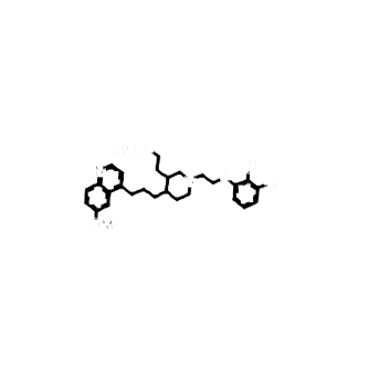 COc1ccc2nccc(CCCC3CCN(CCSc4cccc(Cl)c4Cl)CC3CCC(=O)O)c2c1